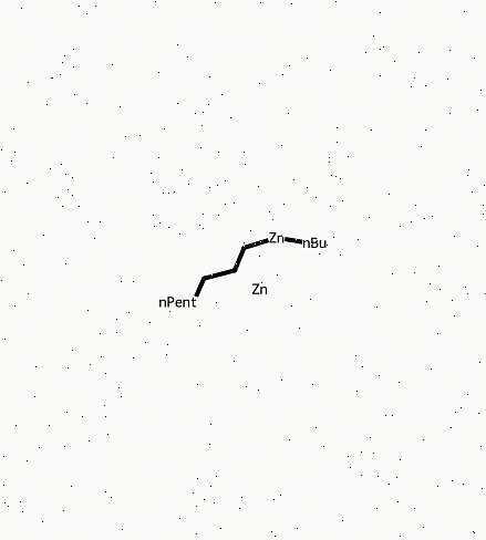 CCCCCCC[CH2][Zn][CH2]CCC.[Zn]